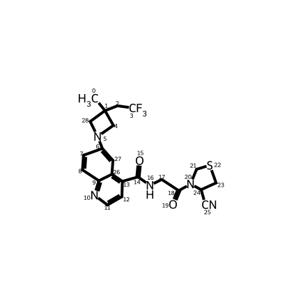 CC1(CC(F)(F)F)CN(c2ccc3nccc(C(=O)NCC(=O)N4CSCC4C#N)c3c2)C1